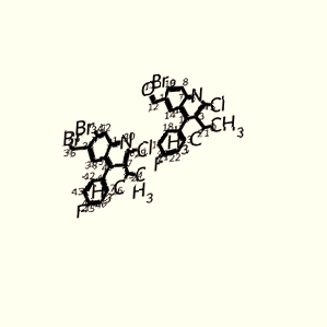 CC(C)c1c(Cl)nc2cc(Br)c(C=O)cc2c1-c1ccc(F)cc1.CC(C)c1c(Cl)nc2cc(Br)c(CBr)cc2c1-c1ccc(F)cc1